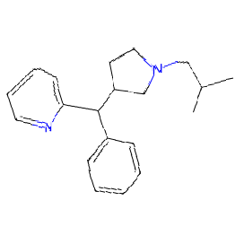 CC(C)CN1CCC(C(c2ccccc2)c2ccccn2)C1